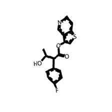 CC(O)C(C(=O)Oc1csc2ccncc12)c1ccc(F)cc1